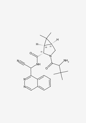 CC(C)(C)C(N)C(=O)N1C[C@H]2[C@@H]([C@H]1C(=O)NC(C#N)c1nncc3ccccc13)C2(C)C